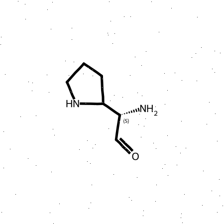 N[C@H](C=O)C1CCCN1